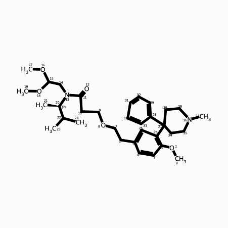 COc1ccc(CCOCCC(=O)N(CC(OC)OC)[C@H](C)C(C)C)cc1C1(c2ccccc2)CCN(C)CC1